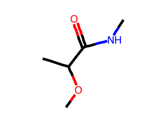 CNC(=O)[C](C)OC